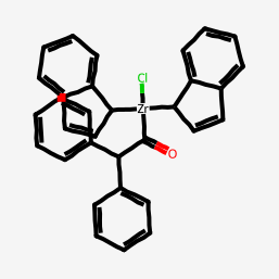 O=[C](C(c1ccccc1)c1ccccc1)[Zr]([Cl])([CH]1C=Cc2ccccc21)[CH]1C=Cc2ccccc21